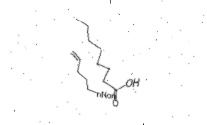 C=CCCCCCCCCCCCC.CCCCCCCC(=O)O